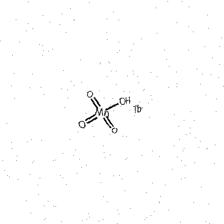 [O]=[Mn](=[O])(=[O])[OH].[Tb]